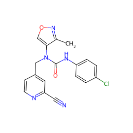 Cc1nocc1N(Cc1ccnc(C#N)c1)C(=O)Nc1ccc(Cl)cc1